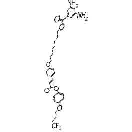 Nc1cc(N)cc(C(=O)OCCCCCCCCOc2ccc(C=CC(=O)Oc3ccc(OCCCC(F)(F)F)cc3)cc2)c1